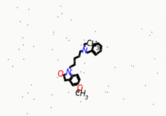 CCN(CCCCCN1C(=O)Cc2cc(OC)ccc21)Cc1ccccc1